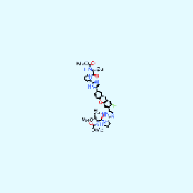 CC[C@H](C)[C@H](NC(=O)OC)C(=O)N1CCC[C@H]1c1ncc(-c2ccc3c(c2)Cc2cc(F)c(-c4cnc([C@@H]5CCCN5C(=O)[C@@H](NC(=O)OC)[C@@H](C)OC)[nH]4)cc2O3)[nH]1